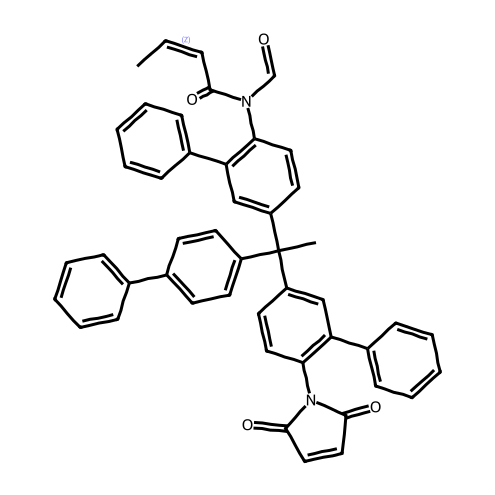 C/C=C\C(=O)N(C=O)c1ccc(C(C)(c2ccc(-c3ccccc3)cc2)c2ccc(N3C(=O)C=CC3=O)c(-c3ccccc3)c2)cc1-c1ccccc1